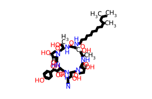 CCC(C)CC(C)CCCCCCCCC(=O)N[C@H]1C[C@@H](O)[C@@H](C)NC(=O)[C@@H]2[C@@H](O)CCN2C(=O)[C@H]([C@H](O)CC#N)NC(=O)[C@H]([C@H](O)[C@@H](O)c2ccc(O)cc2)NC(=O)[C@@H]2C[C@@H](O)CN2C(=O)[C@H]([C@@H](C)O)NC1=O